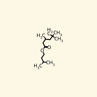 CC(C)CCOC(=O)CC(C)CC(C)(C)C